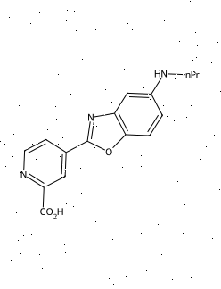 CCCNc1ccc2oc(-c3ccnc(C(=O)O)c3)nc2c1